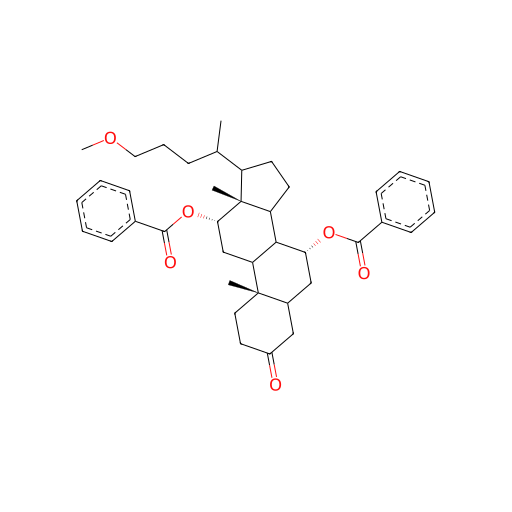 COCCCC(C)C1CCC2C3C(C[C@H](OC(=O)c4ccccc4)[C@]12C)[C@@]1(C)CCC(=O)CC1C[C@H]3OC(=O)c1ccccc1